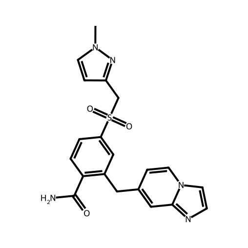 Cn1ccc(CS(=O)(=O)c2ccc(C(N)=O)c(Cc3ccn4ccnc4c3)c2)n1